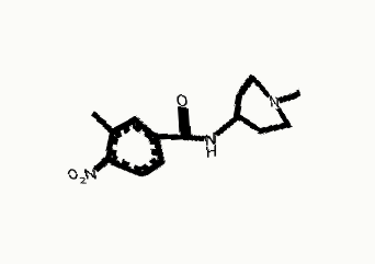 Cc1cc(C(=O)NC2CCN(C)CC2)ccc1[N+](=O)[O-]